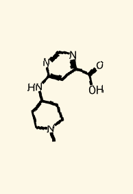 CN1CCC(Nc2cc(C(=O)O)ncn2)CC1